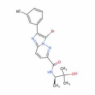 C[C@@H](NC(=O)c1ccc2nc(-c3cccc(C#N)c3)c(Br)n2n1)C(C)(C)O